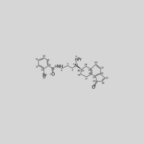 CCCN(CCCNC(=O)c1ccccc1Br)[C@@H]1CCc2c(ccc3c2C(=O)C=C3)C1